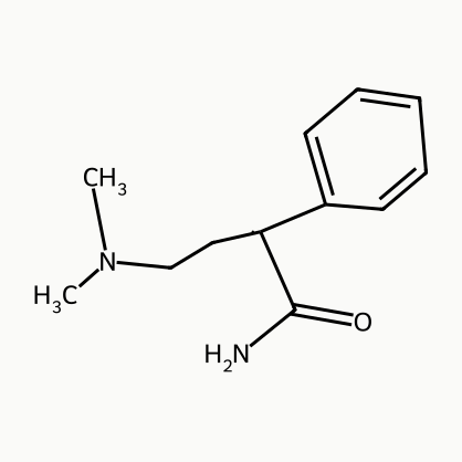 CN(C)CC[C](C(N)=O)c1ccccc1